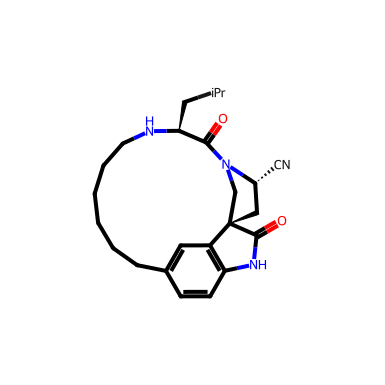 CC(C)C[C@@H]1NCCCCCCc2ccc3c(c2)[C@@]2(C[C@@H](C#N)N(C2)C1=O)C(=O)N3